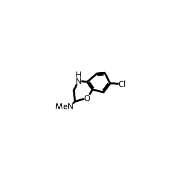 CNC1CNc2ccc(Cl)cc2O1